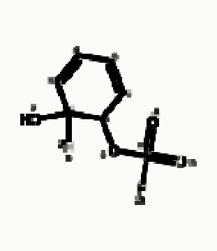 [2H]C1(O)C=CC=CC1OS(=O)(=O)F